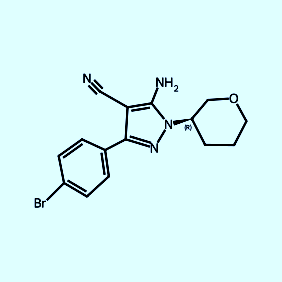 N#Cc1c(-c2ccc(Br)cc2)nn([C@@H]2CCCOC2)c1N